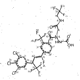 O=C(O)NN(CC(=O)NCC(F)(F)F)C(=O)c1ccc(C(F)=CC(c2cc(Cl)c(Cl)c(Cl)c2)C(F)(F)F)cc1C(F)(F)F